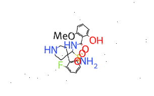 COc1cccc(O)c1C(=O)NC(C1(c2ccccc2F)CCNCC1)S(N)(=O)=O